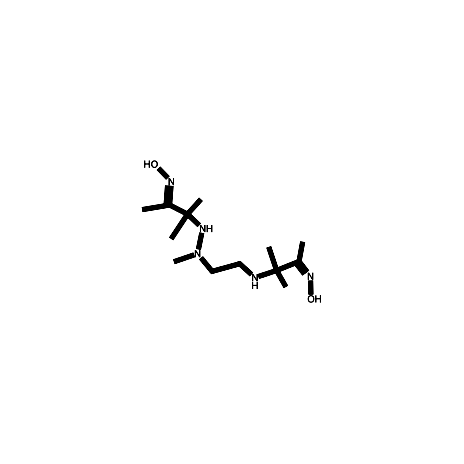 CC(=NO)C(C)(C)NCCN(C)NC(C)(C)C(C)=NO